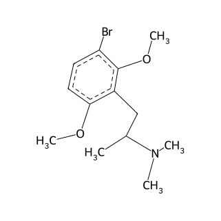 COc1ccc(Br)c(OC)c1CC(C)N(C)C